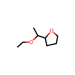 CCOC(C)[C]1CCCO1